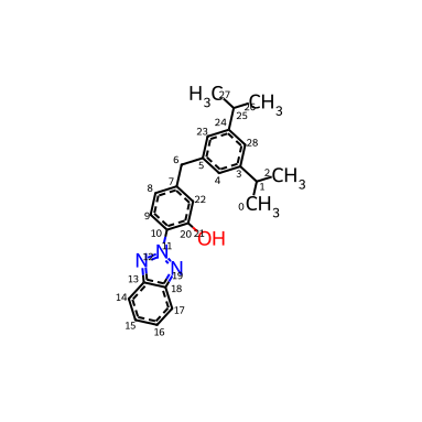 CC(C)c1cc(Cc2ccc(-n3nc4ccccc4n3)c(O)c2)cc(C(C)C)c1